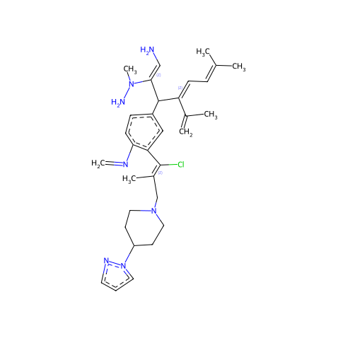 C=Nc1ccc(C(/C(=C/C=C(C)C)C(=C)C)/C(=C/N)N(C)N)cc1/C(Cl)=C(\C)CN1CCC(n2cccn2)CC1